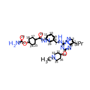 CC(C)c1cnn2c(NCc3cccc(NC(=O)C4CCC(OC(N)=O)CC4)c3)nc(OC3CCN(C)CC3)nc12